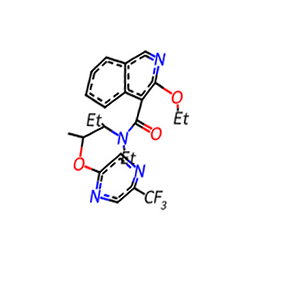 CCOc1ncc2ccccc2c1C(=O)N(CC)C(CC)C(C)Oc1cnc(C(F)(F)F)cn1